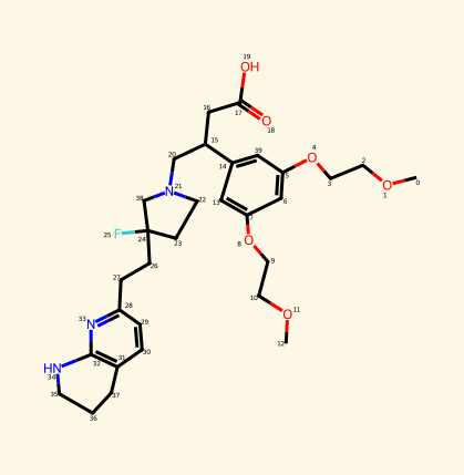 COCCOc1cc(OCCOC)cc(C(CC(=O)O)CN2CCC(F)(CCc3ccc4c(n3)NCCC4)C2)c1